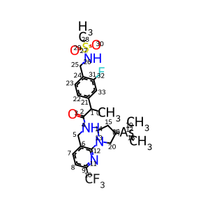 CC(C(=O)NCc1ccc(C(F)(F)F)nc1N1CC[C@H]([As](C)C)C1)c1ccc(CNS(C)(=O)=O)c(F)c1